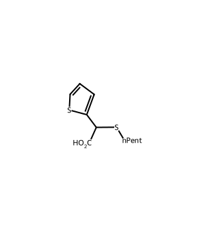 CCCCCSC(C(=O)O)c1cccs1